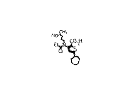 CCC(=O)N(CCCC(C)O)c1cc(C2CCCCCC2)sc1C(=O)O